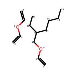 C=COC=C.C=COCC(CC)CCCC